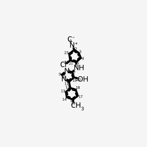 [C-]#[N+]c1ccc(Nc2ncnc(-c3ccc(C)cc3)c2O)c(Cl)c1